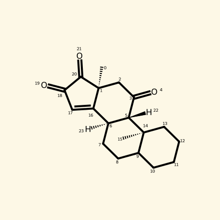 C[C@]12CC(=O)[C@H]3[C@@H](CCC4CCCC[C@@]43C)C1=CC(=O)C2=O